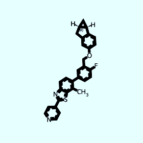 Cc1c(-c2ccc(F)c(COc3ccc4c(c3)C[C@H]3C[C@@H]43)c2)ccc2nc(-c3ccncc3)sc12